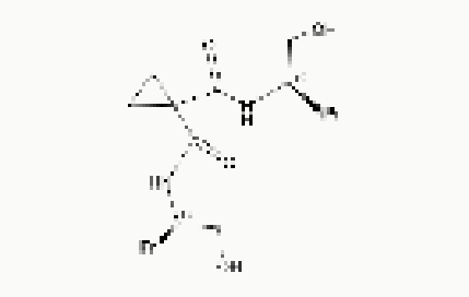 CC(C)[C@H](CO)NC(=O)C1(C(=O)N[C@@H](CO)C(C)C)CC1